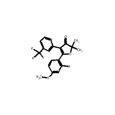 CSc1ccc(C2=C(c3cccc(C(F)(F)F)c3)C(=O)C(C)(C)O2)c(F)c1